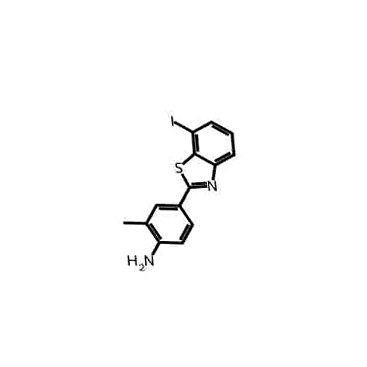 Cc1cc(-c2nc3cccc(I)c3s2)ccc1N